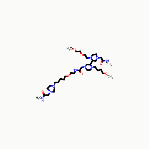 CNC(=O)CN1CCN(CCCCCOCCNC(=O)CN2CCN(CCCCOC)C(C3CN(CC(=O)NC)CCN3CCOCCOC)C2)CC1